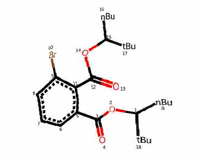 CCCCC(OC(=O)c1cccc(Br)c1C(=O)OC(CCCC)C(C)(C)C)C(C)(C)C